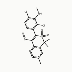 CNc1c(Cl)ccc(C2=C(N=O)c3ncc(C)cc3C(C)(C)S2(=O)=O)c1Cl